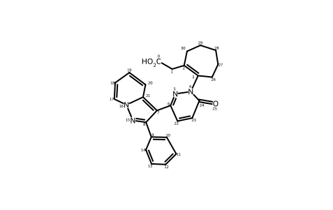 O=C(O)CC1=C(n2nc(-c3c(-c4ccccc4)nn4ccccc34)ccc2=O)CCCCC1